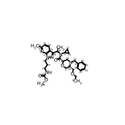 CCOC[C@H]1CO[C@@H](C(=O)N(C2CC2)[C@H](C)c2nn(CCCNC(=O)OC)c3nc(C)ccc23)CN1Cc1ccccc1